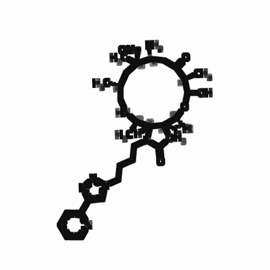 B[C@@H]1CC(=O)[C@@H](C)C(O)O[C@H](CC)[C@@]2(C)OC(=O)N(CCCCn3cc(-c4ccccn4)nn3)[C@@H]2[C@@H](C)NC[C@H](C)C[C@@]1(C)OC